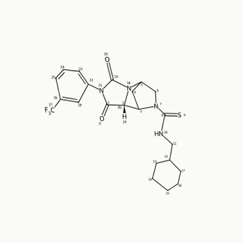 O=C1[C@H]2C3CC(CN3C(=S)NCC3CCCCC3)N2C(=O)N1c1cccc(C(F)(F)F)c1